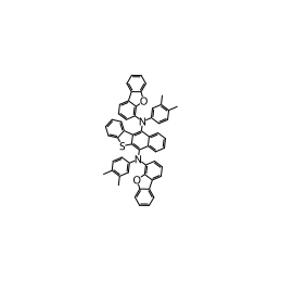 Cc1ccc(N(c2cccc3c2oc2ccccc23)c2c3ccccc3c(N(c3ccc(C)c(C)c3)c3cccc4c3oc3ccccc34)c3c2sc2ccccc23)cc1C